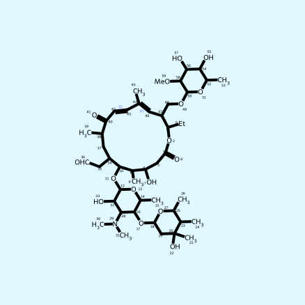 CCC1OC(=O)CC(O)C(C)C(OC2OC(C)C(OC3CC(C)(O)C(C)C(C)O3)C(N(C)C)C2O)C(CC=O)CC(C)C(=O)/C=C/C(C)=C/C1COC1OC(C)C(O)C(O)C1OC